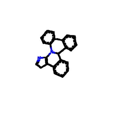 C1=NC2=C(C1)c1ccccc1C1c3ccccc3-c3ccccc3N21